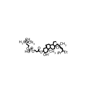 CC[C@H](C=C[C@@H](C)[C@H]1CCC2C3CC=C4C[C@@H](OC(=O)CCOP(=O)(O)OCC[N+](C)(C)C)CC[C@]4(C)C3CC[C@@]21C)C(C)C.[OH-]